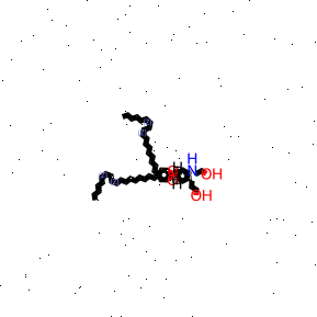 CCCCC/C=C\C/C=C\CCCCCCCCC1(CCCCCCCC/C=C\C/C=C\CCCCC)CCC2(CC1)O[C@H]1C[C@@H](NCCO)[C@@H](CCCO)C[C@H]1O2